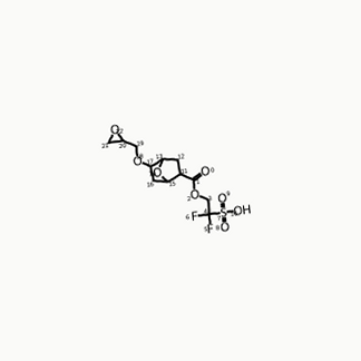 O=C(OCC(F)(F)S(=O)(=O)O)C1CC2OC1CC2OCC1CO1